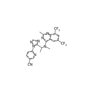 Cc1nc(N(C)C(C)c2ncnn2-c2ccc(C#N)cn2)c2cc(C(F)(F)F)cc(C(F)(F)F)c2n1